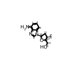 Nc1cccc2c1ncn2[C@H]1C[C@H](F)C(CO)O1